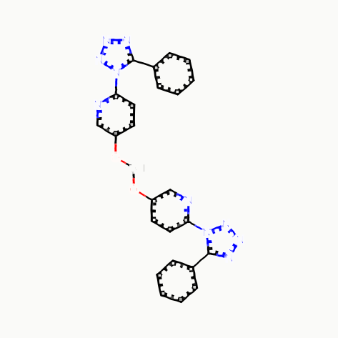 B(Oc1ccc(-n2nnnc2-c2ccccc2)nc1)Oc1ccc(-n2nnnc2-c2ccccc2)nc1